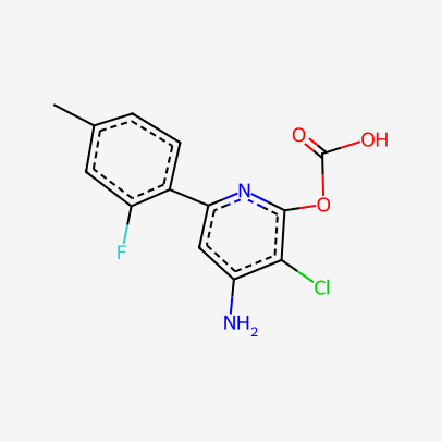 Cc1ccc(-c2cc(N)c(Cl)c(OC(=O)O)n2)c(F)c1